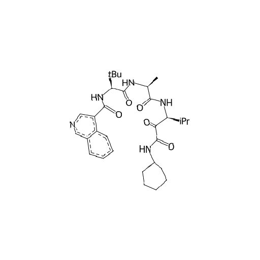 CC(C)[C@H](NC(=O)[C@H](C)NC(=O)[C@@H](NC(=O)c1cncc2ccccc12)C(C)(C)C)C(=O)C(=O)NC1CCCCC1